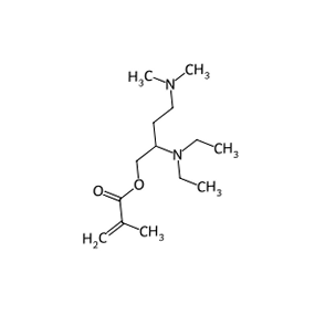 C=C(C)C(=O)OCC(CCN(C)C)N(CC)CC